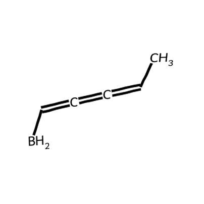 BC=C=C=CC